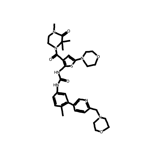 Cc1ccc(NC(=O)Nc2sc(N3CCOCC3)cc2C(=O)N2CCN(C)C(=O)C2(C)C)cc1-c1ccc(CN2CCOCC2)nc1